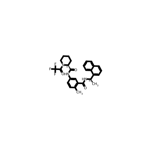 Cc1ccc(NC(=O)[C@@H]2CCCCN2C(=O)C(F)(F)F)cc1C(=O)N[C@H](C)c1cccc2ccccc12